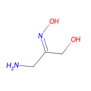 NCC(CO)=NO